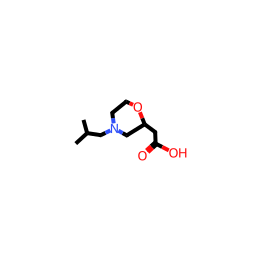 CC(C)CN1CCOC(CC(=O)O)C1